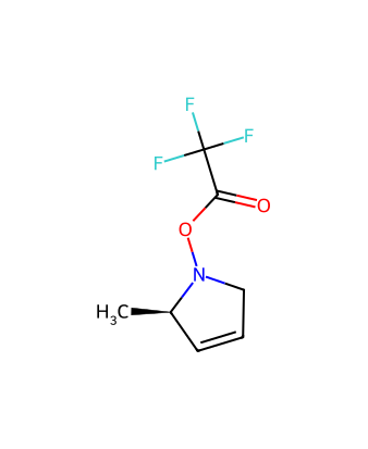 C[C@@H]1C=CCN1OC(=O)C(F)(F)F